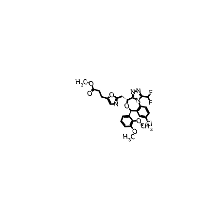 COC(=O)CCc1cnc(C[C@H]2O[C@H](c3cccc(OC)c3OC)c3cc(Cl)ccc3-n3c(C(F)F)nnc32)o1